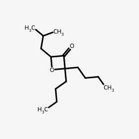 CCCCC1(CCCC)OC(CC(C)C)C1=O